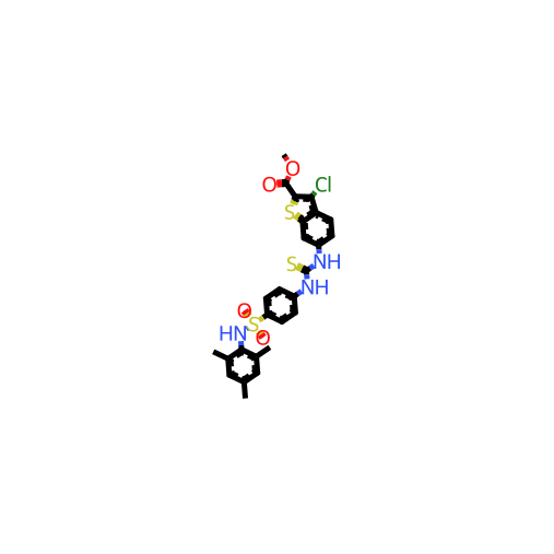 COC(=O)c1sc2cc(NC(=S)Nc3ccc(S(=O)(=O)Nc4c(C)cc(C)cc4C)cc3)ccc2c1Cl